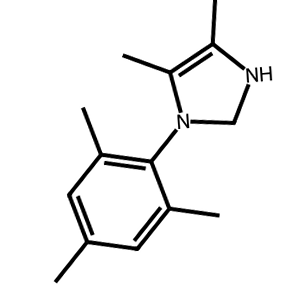 CC1=C(C)N(c2c(C)cc(C)cc2C)CN1